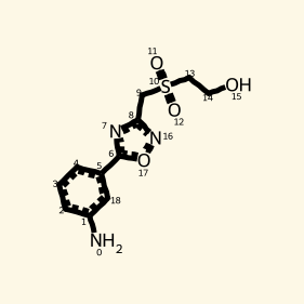 Nc1cccc(-c2nc(CS(=O)(=O)CCO)no2)c1